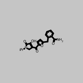 CC(C)N1CC(C(=O)c2ccc(Cc3ccccc3C(N)=O)o2)=C(O)C1=O